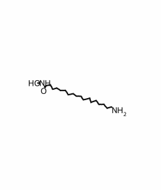 NCCCCCCCCCCCCCCCCCC(=O)NO